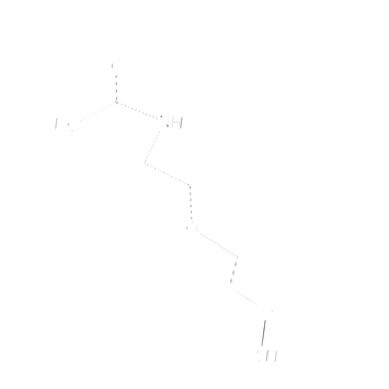 CC(C)NCCOCCOS